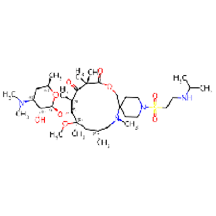 CO[C@]1(C)C[C@@H](C)CN(C)C2(CCN(S(=O)(=O)CCNC(C)C)CC2)COC(=O)C(C)(C)C(=O)[C@H](C)[C@H]1O[C@@H]1O[C@H](C)C[C@H](N(C)C)[C@H]1O